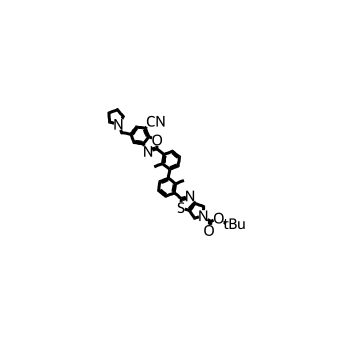 Cc1c(-c2nc3cc(CN4CCCC4)cc(C#N)c3o2)cccc1-c1cccc(-c2nc3c(s2)CN(C(=O)OC(C)(C)C)C3)c1C